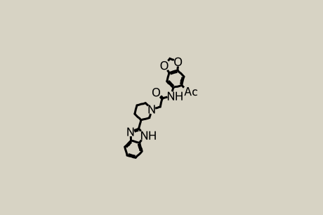 CC(=O)c1cc2c(cc1NC(=O)CN1CCCC(c3nc4ccccc4[nH]3)C1)OCO2